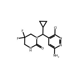 Nc1cc(C(C2CC2)N2CC(F)(F)CNC2=O)c(Cl)nn1